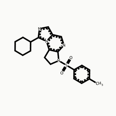 Cc1ccc(S(=O)(=O)N2CCc3c2ncc2cnc(C4CCCCC4)n32)cc1